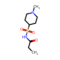 CCC(=O)NS(=O)(=O)C1CCN(C)CC1